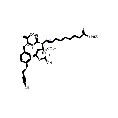 CC#CCOc1ccc(C[C@H](NC(=O)[C@@H](/C=C/CCCCCCC(=O)CCCCCCC)[C@@](O)(CC(=O)OC(C)O)C(=O)O)C(=O)OC)cc1